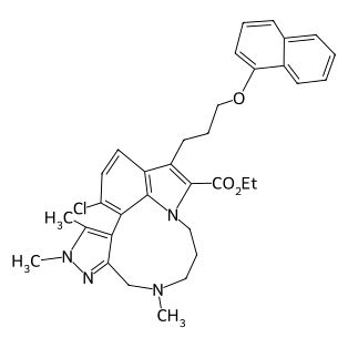 CCOC(=O)c1c(CCCOc2cccc3ccccc23)c2ccc(Cl)c3c2n1CCCN(C)Cc1nn(C)c(C)c1-3